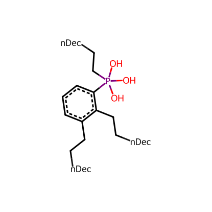 CCCCCCCCCCCCc1cccc(P(O)(O)(O)CCCCCCCCCCCC)c1CCCCCCCCCCCC